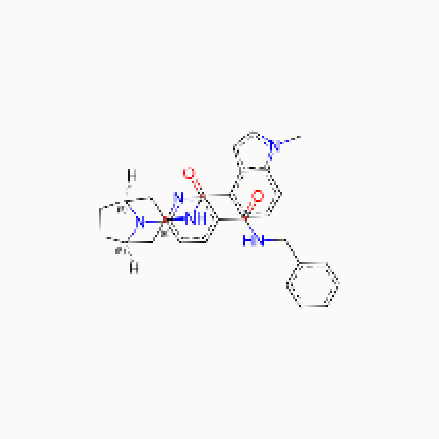 Cn1ccc2c(C(=O)N[C@H]3C[C@H]4CC[C@@H](C3)N4c3ccc(C(=O)NCc4ccccc4)cn3)cccc21